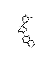 Cc1cc(-c2nc(-c3ccc4ccccc4n3)no2)ccn1